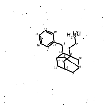 Cl.NCCC12CC3CC(CC(C3)C1Cc1ccccc1)C2